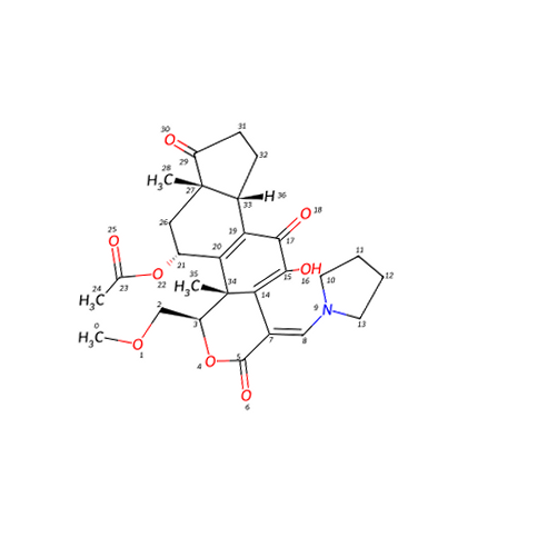 COC[C@@H]1OC(=O)/C(=C/N2CCCC2)C2=C(O)C(=O)C3=C([C@H](OC(C)=O)C[C@]4(C)C(=O)CC[C@H]34)[C@]21C